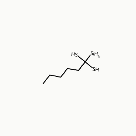 CCCCCC([SiH3])(S)S